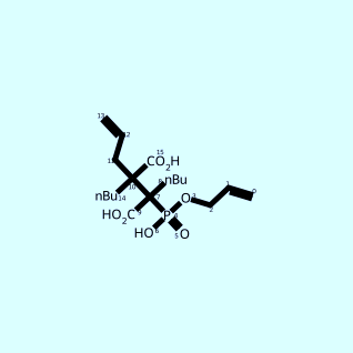 C=CCOP(=O)(O)C(CCCC)(C(=O)O)C(CC=C)(CCCC)C(=O)O